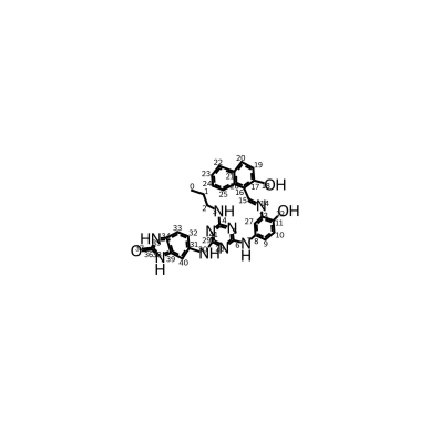 CCCNc1nc(Nc2ccc(O)c(N=Cc3c(O)ccc4ccccc34)c2)nc(Nc2ccc3[nH]c(=O)[nH]c3c2)n1